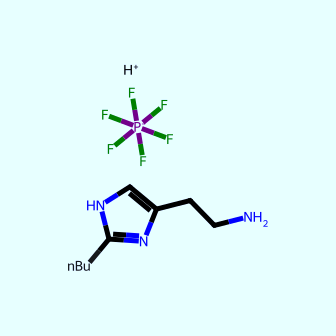 CCCCc1nc(CCN)c[nH]1.F[P-](F)(F)(F)(F)F.[H+]